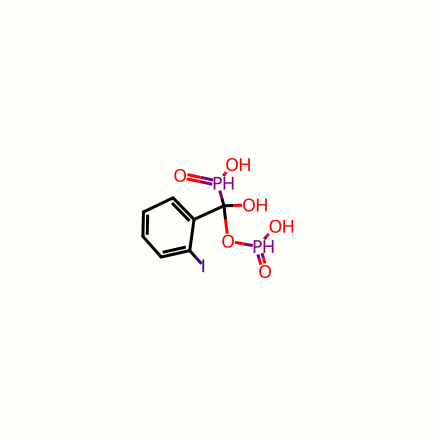 O=[PH](O)OC(O)(c1ccccc1I)[PH](=O)O